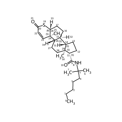 CCCCCC(C)(C)NC(=O)[C@H]1CC[C@H]2[C@@H]3CC[C@H]4SC(=O)C=C[C@]4(C)[C@H]3CC[C@]12C